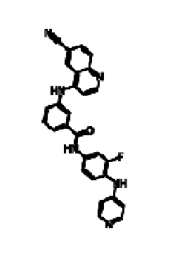 N#Cc1ccc2nccc(Nc3cccc(C(=O)Nc4ccc(Nc5ccncc5)c(F)c4)c3)c2c1